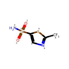 NS(=O)(=O)c1cnc(C(F)(F)F)s1